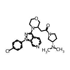 CN(C)[C@H]1CCN(C(=O)CC2COCCN2c2nn(-c3ccc(Cl)cc3)c3cnccc23)C1